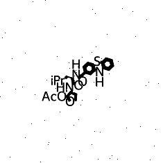 CC(=O)O[C@@H]1OCC[C@@H]1NC(=O)[C@@H](CC(C)C)NC(=O)c1ccc2c(c1)Nc1ccccc1S2